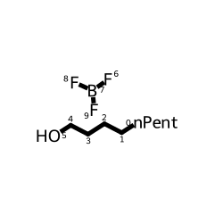 CCCCCCCCCO.FB(F)F